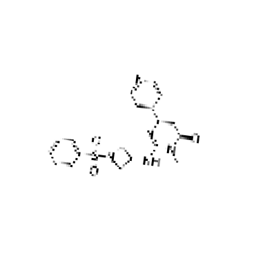 Cn1c(NC2CN(S(=O)(=O)c3ccccc3)C2)nc(-c2ccncc2)cc1=O